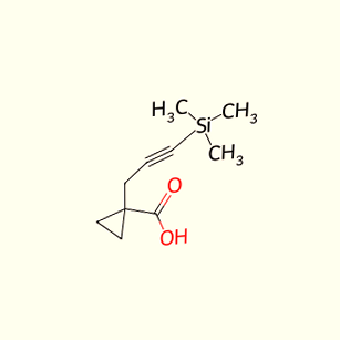 C[Si](C)(C)C#CCC1(C(=O)O)CC1